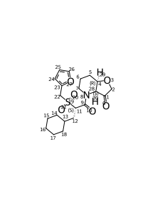 O=C1CO[C@@H]2CCCN(C(=O)[C@H](CC3CCCCC3)S(=O)(=O)Cc3ccco3)[C@H]12